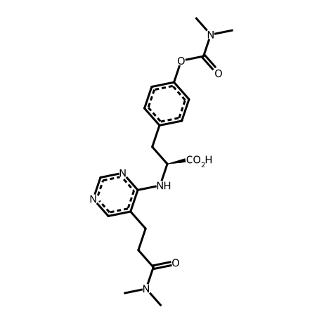 CN(C)C(=O)CCc1cncnc1N[C@@H](Cc1ccc(OC(=O)N(C)C)cc1)C(=O)O